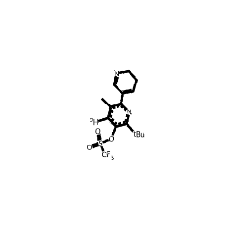 [2H]c1c(C)c(C2=CCCN=C2)nc(C(C)(C)C)c1OS(=O)(=O)C(F)(F)F